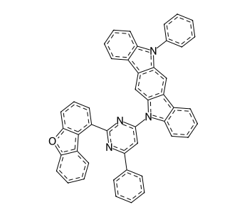 c1ccc(-c2cc(-n3c4ccccc4c4cc5c(cc43)c3ccccc3n5-c3ccccc3)nc(-c3cccc4oc5ccccc5c34)n2)cc1